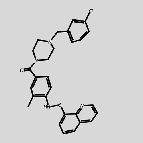 Cc1cc(C(=O)N2CCN(Cc3cccc(Cl)c3)CC2)ccc1NSc1cccc2cccnc12